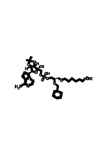 CCCCCCCCCCCCCCCCOC[C@@H](COP(=O)(O)OC[C@@]1(C#N)O[C@@H](c2ccc3c(N)ncnn23)[C@@H]2OC(C)(C)O[C@@H]21)OCc1ccccc1